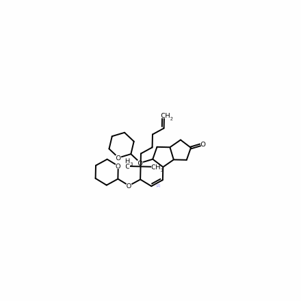 C=CCCCC(C)(C)C(/C=C\C1C(OC2CCCCO2)CC2CC(=O)CC21)OC1CCCCO1